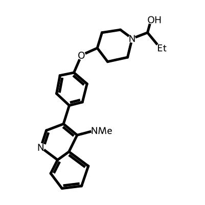 CCC(O)N1CCC(Oc2ccc(-c3cnc4ccccc4c3NC)cc2)CC1